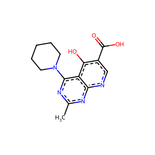 Cc1nc(N2CCCCC2)c2c(O)c(C(=O)O)cnc2n1